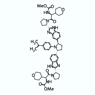 C=C(C)c1ccc(N2[C@@H](c3ccc4[nH]c([C@@H]5CCCN5C(=O)[C@@H](NC(=O)OC)C5CCOCC5)nc4c3)CC[C@@H]2c2ccc3[nH]c([C@@H]4CCCN4C(=O)[C@@H](NC(=O)OC)C4CCOCC4)nc3c2)cc1